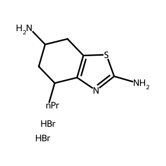 Br.Br.CCCC1CC(N)Cc2sc(N)nc21